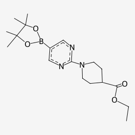 CCOC(=O)C1CCN(c2ncc(B3OC(C)(C)C(C)(C)O3)cn2)CC1